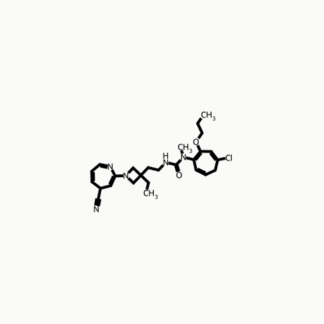 CCCOC1=C(N(C)C(=O)NCCC2(CC)CN(C3=CC(C#N)C=CC=N3)C2)C=CCC(Cl)=C1